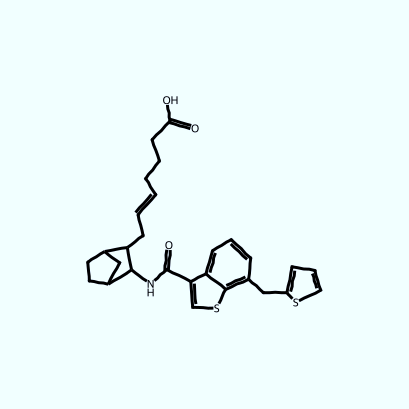 O=C(O)CCCC=CCC1C2CCC(C2)C1NC(=O)c1csc2c(Cc3cccs3)cccc12